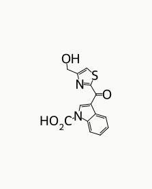 O=C(c1nc(CO)cs1)c1cn(C(=O)O)c2ccccc12